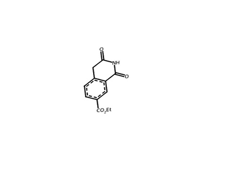 CCOC(=O)c1ccc2c(c1)C(=O)NC(=O)C2